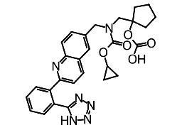 O=C(O)OC1(CN(Cc2ccc3nc(-c4ccccc4-c4nnn[nH]4)ccc3c2)C(=O)OC2CC2)CCCC1